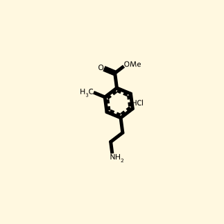 COC(=O)c1ccc(CCN)cc1C.Cl